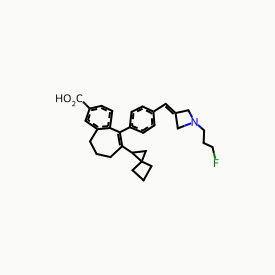 O=C(O)c1ccc2c(c1)CCCC(C1CC13CCC3)=C2c1ccc(C=C2CN(CCCF)C2)cc1